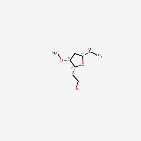 CB[C@H]1C[C@@H](OC)[C@@H](CCO)O1